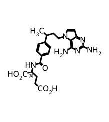 CC(CCn1ccc2nc(N)nc(N)c21)c1ccc(C(=O)N[C@@H](CCC(=O)O)C(=O)O)cc1